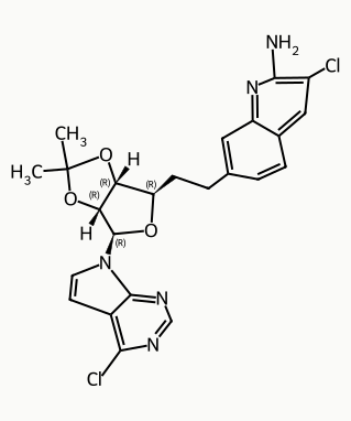 CC1(C)O[C@@H]2[C@H](O1)[C@@H](CCc1ccc3cc(Cl)c(N)nc3c1)O[C@H]2n1ccc2c(Cl)ncnc21